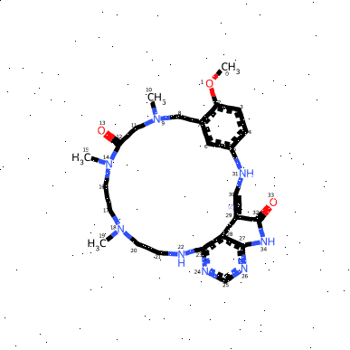 COc1ccc2cc1CN(C)CC(=O)N(C)CCN(C)CCNc1ncnc3c1/C(=C/N2)C(=O)N3